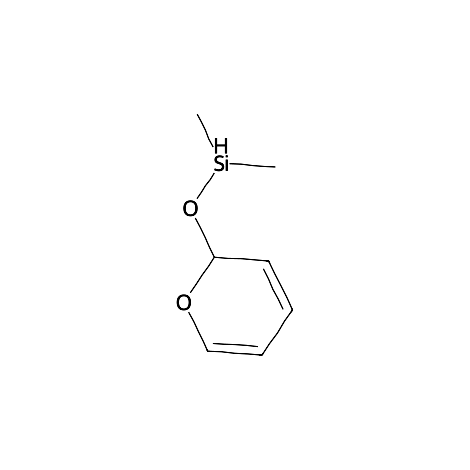 C[SiH](C)OC1C=CC=CO1